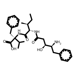 CC[C@H](C)[C@H](NC(=O)C[C@H](O)[C@@H](N)Cc1ccccc1)C(=O)N[C@](Cc1ccccc1)(C(=O)O)C(C)C